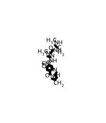 C=C1C[C@H]2C=Nc3cc(ONc4cn(C)c(C(=O)NC(C)CNC)n4)c(OC)cc3C(=O)N2C1